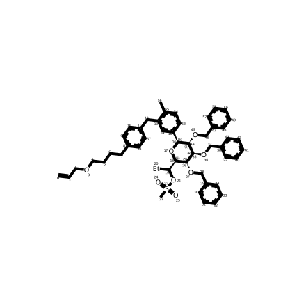 C=CCOCCCCc1ccc(Cc2cc([C@@H]3O[C@H](C(CC)OS(C)(=O)=O)[C@@H](OCc4ccccc4)[C@H](OCc4ccccc4)[C@H]3OCc3ccccc3)ccc2C)cc1